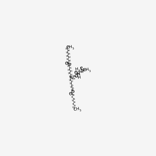 CCCCCCCCCC(=O)OCCCCCCCN(CCCCCCCOC(=O)CCCCCCCCC)CCOC(=O)NCCN(C)C